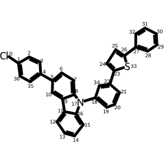 Clc1ccc(-c2ccc3c(c2)c2ccccc2n3-c2cccc(-c3ccc(-c4ccccc4)s3)c2)cc1